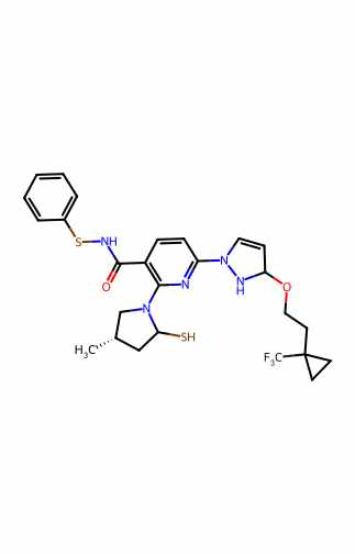 C[C@H]1CC(S)N(c2nc(N3C=CC(OCCC4(C(F)(F)F)CC4)N3)ccc2C(=O)NSc2ccccc2)C1